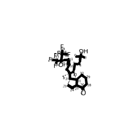 CC(C)(O)CCC[C@](C)(C/C=C\C(O)(C(F)(F)F)C(F)(F)F)[C@H]1CCC2C(=O)CCC[C@@]21C